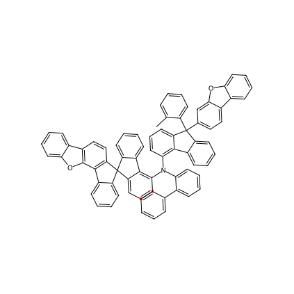 Cc1ccccc1C1(c2ccc3c(c2)oc2ccccc23)c2ccccc2-c2c(N(c3ccccc3-c3ccccc3)c3cccc4c3-c3ccccc3C43c4ccccc4-c4c3ccc3c4oc4ccccc43)cccc21